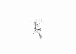 CC(C1=N[C@H]2[C@@H](O)[C@H](O)C(CN=[N+]=N)O[C@@H]2S1)N(C(=O)[O-])C(C)(C)C